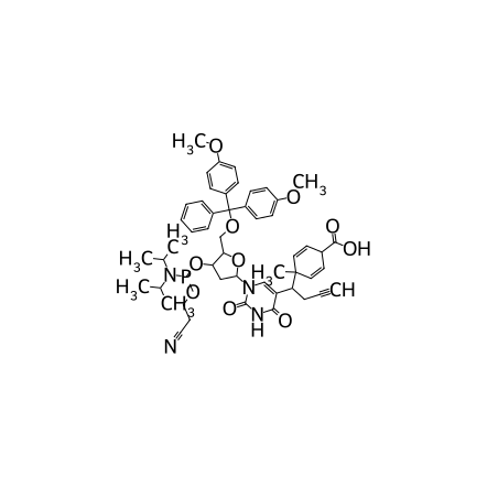 C#CCC(c1cn(C2CC(OP(OCCC#N)N(C(C)C)C(C)C)C(COC(c3ccccc3)(c3ccc(OC)cc3)c3ccc(OC)cc3)O2)c(=O)[nH]c1=O)C1(C)C=CC(C(=O)O)C=C1